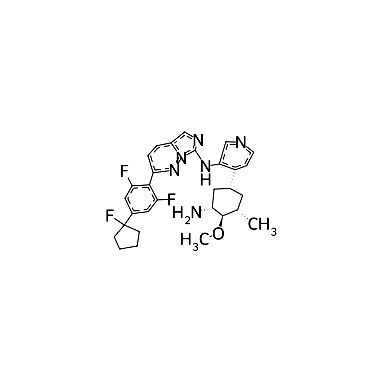 CO[C@H]1[C@H](N)C[C@H](c2ccncc2Nc2ncc3ccc(-c4c(F)cc(C5(F)CCCC5)cc4F)nn23)C[C@@H]1C